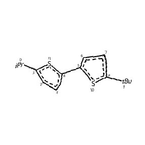 CC(C)c1ccc(-c2ccc(C(C)(C)C)s2)s1